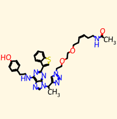 CC(=O)NCC/C=C\CCOCCOCCn1cc(C(C)n2cnc3c(NCCc4ccc(O)cc4)nc(-c4csc5ccccc45)nc32)nn1